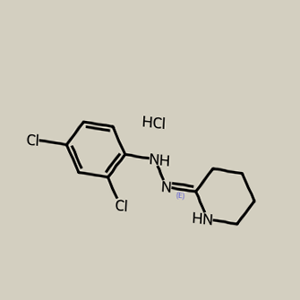 Cl.Clc1ccc(N/N=C2\CCCCN2)c(Cl)c1